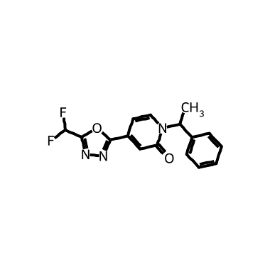 CC(c1ccccc1)n1ccc(-c2nnc(C(F)F)o2)cc1=O